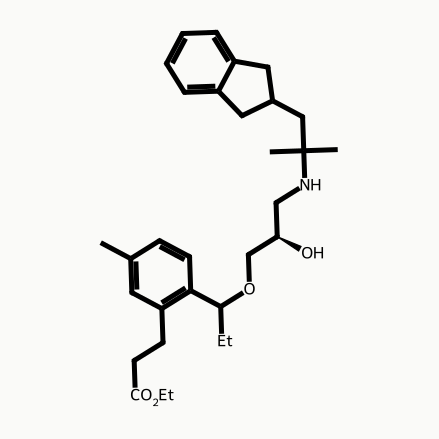 CCOC(=O)CCc1cc(C)ccc1C(CC)OC[C@H](O)CNC(C)(C)CC1Cc2ccccc2C1